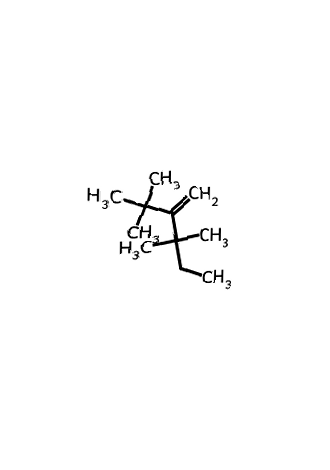 C=C(C(C)(C)C)C(C)(C)CC